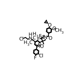 COc1cc(C(=O)NCC(CO)(c2cc(C(C)(C)NCCCl)cc(-c3ccc(F)c(Cl)c3)n2)C(F)(F)F)ccc1OC1CC1